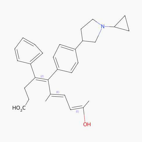 C\C(O)=C/C=C(C)/C(=C(\CCC(=O)O)c1ccccc1)c1ccc(C2CCN(C3CC3)C2)cc1